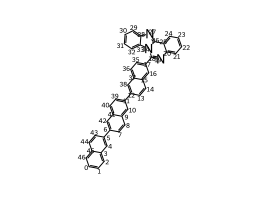 c1ccc2cc(-c3ccc4cc(-c5ccc6cc(-c7nc8ccccc8c8nc9ccccc9n78)ccc6c5)ccc4c3)ccc2c1